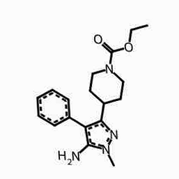 CCOC(=O)N1CCC(c2nn(C)c(N)c2-c2ccccc2)CC1